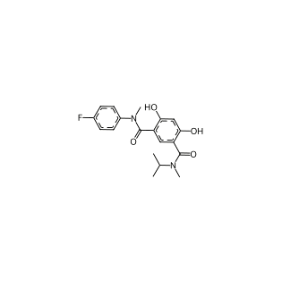 CC(C)N(C)C(=O)c1cc(C(=O)N(C)c2ccc(F)cc2)c(O)cc1O